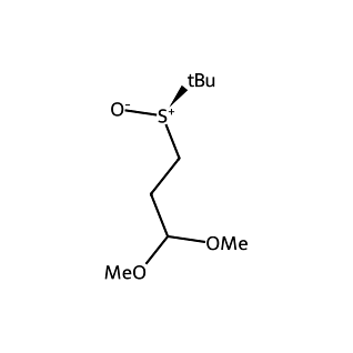 COC(CC[S@@+]([O-])C(C)(C)C)OC